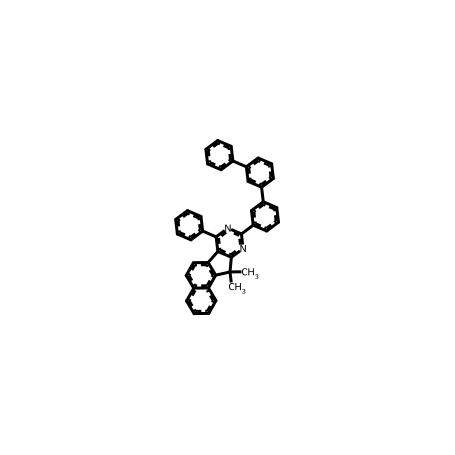 CC1(C)c2nc(-c3cccc(-c4cccc(-c5ccccc5)c4)c3)nc(-c3ccccc3)c2-c2ccc3ccccc3c21